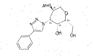 CO[C@H]1[CH]O[C@H](CO)[C@H](O)[C@@H]1n1cc(-c2ccccc2)nn1